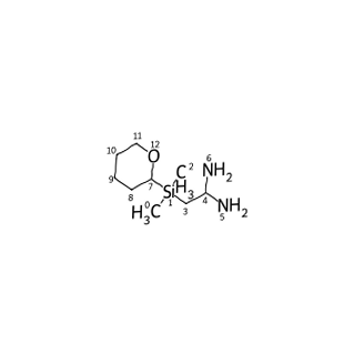 C[Si](C)(CC(N)N)C1CCCCO1